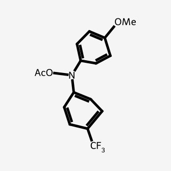 COc1ccc(N(OC(C)=O)c2ccc(C(F)(F)F)cc2)cc1